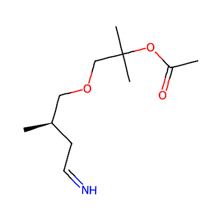 CC(=O)OC(C)(C)COC[C@H](C)CC=N